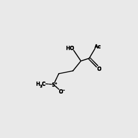 CC(=O)C(=O)C(O)CC[S+](C)[O-]